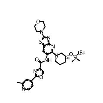 Cc1cc(-c2nc(C(=O)Nc3cc4sc(N5CCOCC5)nc4nc3N3CCC[C@@H](O[Si](C)(C)C(C)(C)C)C3)co2)ccn1